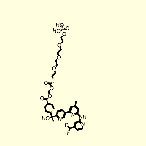 Cc1cc(Nc2cc(C(F)F)ccn2)nc(-c2ccc([C@](C)(O)[C@H]3CC[C@H](C(=O)OCOC(=O)OCCOCCOCCOCCOP(=O)(O)O)CC3)nc2)c1